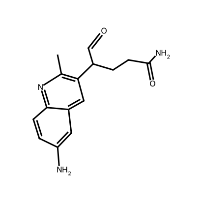 Cc1nc2ccc(N)cc2cc1C(C=O)CCC(N)=O